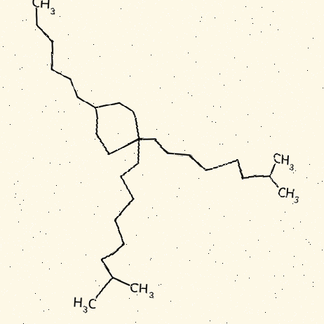 CCCCCCC1CCC(CCCCCCC(C)C)(CCCCCCC(C)C)CC1